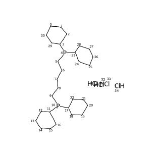 C1CCC(P(CCCCCP(C2CCCCC2)C2CCCCC2)C2CCCCC2)CC1.Cl.Cl.Cl.Cl